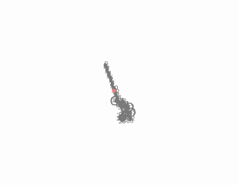 CCCCCCCCCCCCCCCC(=O)N1CCN(C(=O)C2Sc3ccccc3N(CC)C2=O)CC1